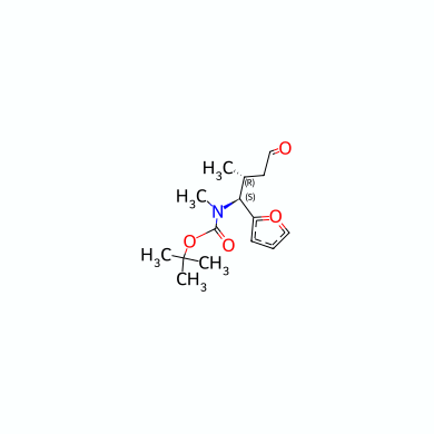 C[C@H](CC=O)[C@@H](c1ccco1)N(C)C(=O)OC(C)(C)C